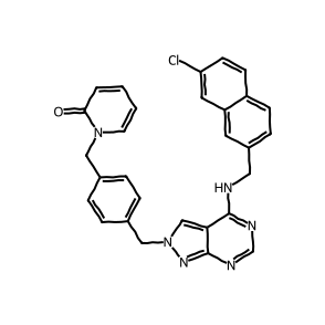 O=c1ccccn1Cc1ccc(Cn2cc3c(NCc4ccc5ccc(Cl)cc5c4)ncnc3n2)cc1